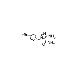 CC(C)(C)c1ccc(Cn2cnc(N)c2C(N)=O)cc1